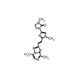 Cc1ncc(C)n2nc(/C=C/c3nc(N4CCN(C)C4=O)cn3C)nc12